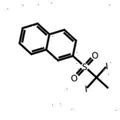 CC(I)(I)S(=O)(=O)c1ccc2ccccc2c1